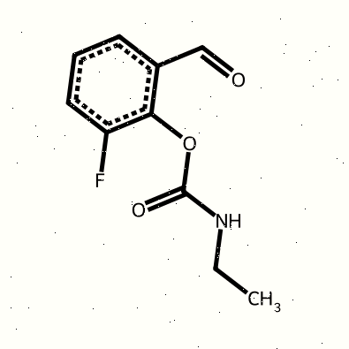 CCNC(=O)Oc1c(F)cccc1C=O